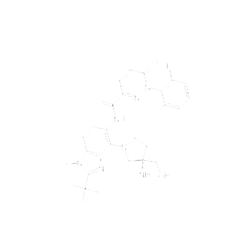 Cn1c(C(C)(C)C)nc2c(N3CCC(N)(CO)C3)c(NC(=O)c3ccc(=O)n(-c4c(F)cccc4F)n3)ccc21